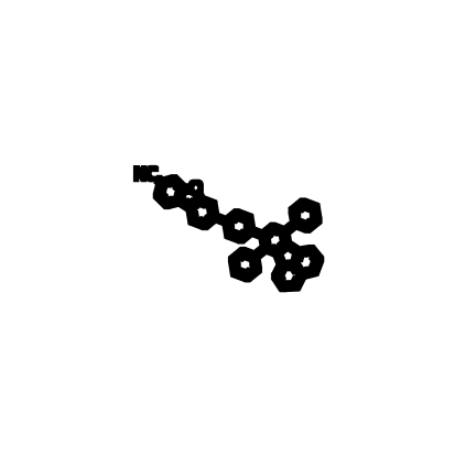 N#Cc1ccc2c(c1)oc1cc(-c3ccc(-c4cc(-c5ccccc5)c5c(c4-c4ccccc4)-c4cccc6cccc-5c46)cc3)ccc12